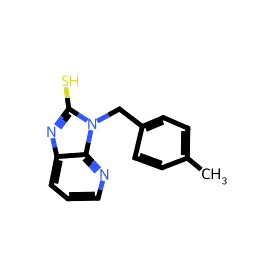 Cc1ccc(Cn2c(S)nc3cccnc32)cc1